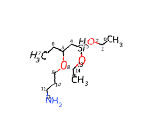 CCO[SiH](CC(CC)OCCCN)OCC